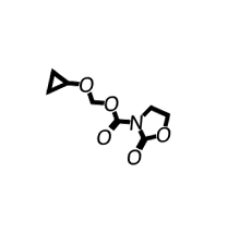 O=C1OCCN1C(=O)OCOC1CC1